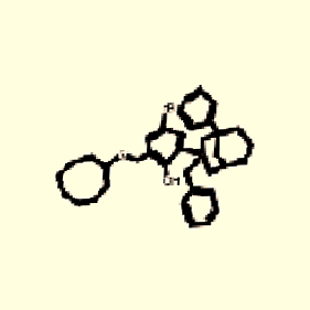 CC(C)(C)c1cc(CSC2CCCCCCC2)c(O)c(C2(Cc3ccccc3)CC3CCCC(c4ccccc4)(C3)C2)c1